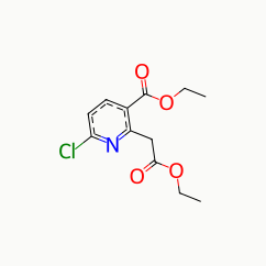 CCOC(=O)Cc1nc(Cl)ccc1C(=O)OCC